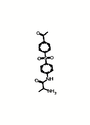 CC(=O)c1ccc(S(=O)(=O)c2ccc(NC(=O)C(C)N)cc2)cc1